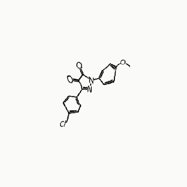 COc1ccc(N2N=C(c3ccc(Cl)cc3)C(=O)C2=O)cc1